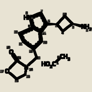 CC(=O)O.N[C@H]1C[C@@H](c2c[nH]c3ccc(CN4CCOC4=O)cc32)C1